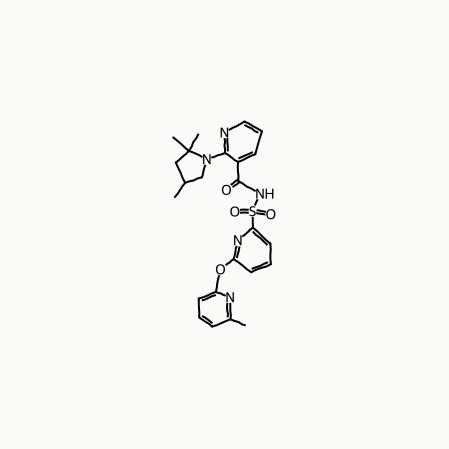 Cc1cccc(Oc2cccc(S(=O)(=O)NC(=O)c3cccnc3N3CC(C)CC3(C)C)n2)n1